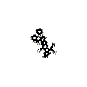 Cc1ccc2c(c1)C(=C(C#N)C#N)/C(=C\c1ccc3c4c(ccc3c1)N(c1ccccc1)c1ccccc1C4(C)C)C2=C(C#N)C#N